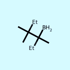 BC(C)(CC)C(C)(C)CC